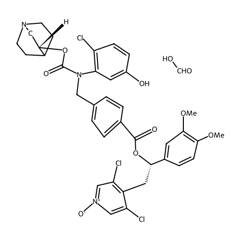 COc1ccc([C@H](Cc2c(Cl)c[n+]([O-])cc2Cl)OC(=O)c2ccc(CN(C(=O)O[C@H]3CN4CCC3CC4)c3cc(O)ccc3Cl)cc2)cc1OC.O=CO